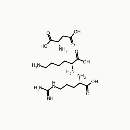 N=C(N)NCCC[C@H](N)C(=O)O.NCCCC[C@H](N)C(=O)O.N[C@@H](CC(=O)O)C(=O)O